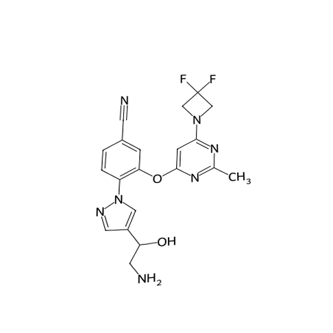 Cc1nc(Oc2cc(C#N)ccc2-n2cc(C(O)CN)cn2)cc(N2CC(F)(F)C2)n1